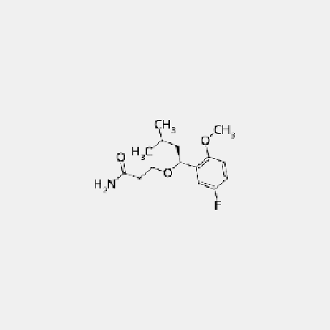 COc1ccc(F)cc1[C@H](CC(C)C)OCCC(N)=O